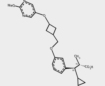 COc1ncc(OC2CC(COc3cccc([C@H](C4CC4)[C@H](C)C(=O)O)c3)C2)cn1